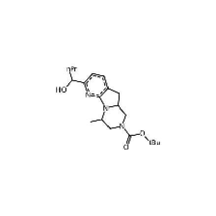 CCCC(O)c1ccc2c(n1)N1C(C)CN(C(=O)OC(C)(C)C)CC1C2